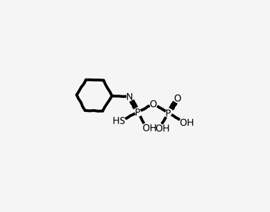 O=P(O)(O)OP(O)(S)=NC1CCCCC1